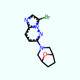 Brc1cnc2ccc(N3CC4CCC(C3)O4)nn12